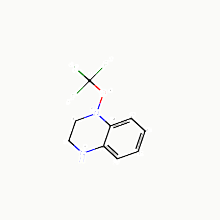 FC(F)(F)ON1CCNc2ccccc21